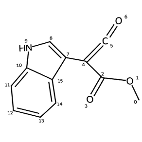 COC(=O)C(=C=O)c1c[nH]c2ccccc12